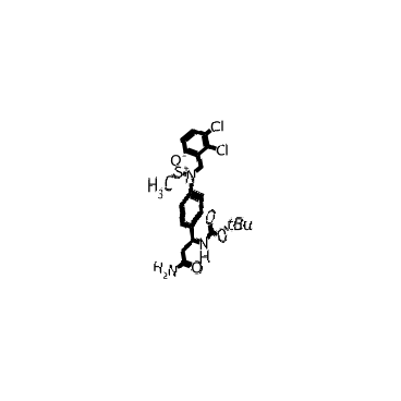 C[S+]([O-])N(Cc1cccc(Cl)c1Cl)c1ccc(C(CC(N)=O)NC(=O)OC(C)(C)C)cc1